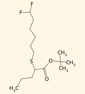 CCCC(SCCCCCC(F)F)C(=O)OC(C)(C)C